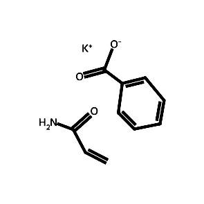 C=CC(N)=O.O=C([O-])c1ccccc1.[K+]